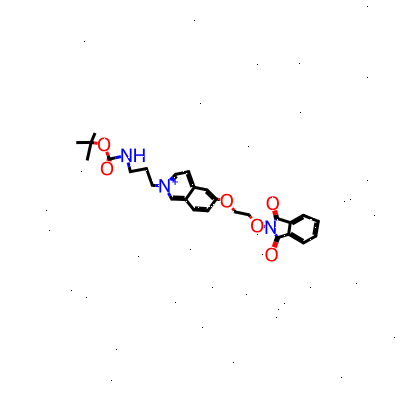 CC(C)(C)OC(=O)NCCC[n+]1ccc2cc(OCCON3C(=O)c4ccccc4C3=O)ccc2c1